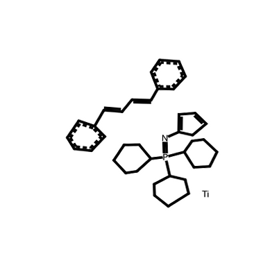 C(C=Cc1ccccc1)=Cc1ccccc1.C1=CCC(N=P(C2CCCCC2)(C2CCCCC2)C2CCCCC2)=C1.[Ti]